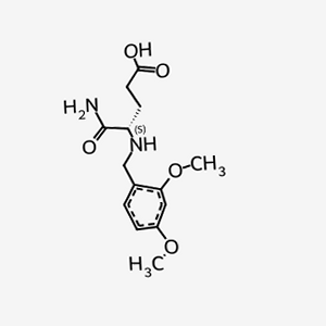 COc1ccc(CN[C@@H](CCC(=O)O)C(N)=O)c(OC)c1